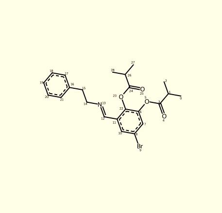 CC(C)C(=O)Oc1cc(Br)cc(C=NCCc2ccccc2)c1OC(=O)C(C)C